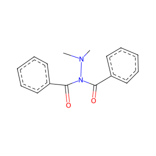 CN(C)N(C(=O)c1ccccc1)C(=O)c1ccccc1